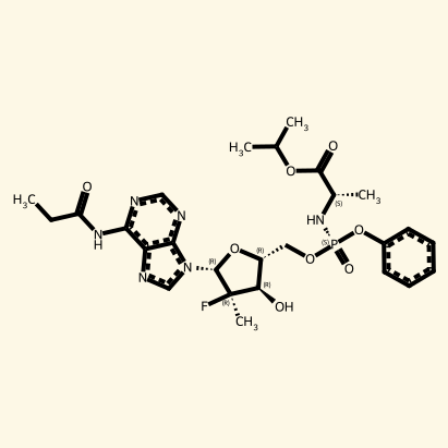 CCC(=O)Nc1ncnc2c1ncn2[C@@H]1O[C@H](CO[P@@](=O)(N[C@@H](C)C(=O)OC(C)C)Oc2ccccc2)[C@@H](O)[C@@]1(C)F